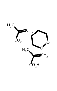 C1CCOOC1.C=C(C)C(=O)O.C=C(C)C(=O)O